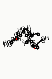 CC(NC(C)(C)C)C(=O)c1cccc(Cl)c1.CC1NCCOC1c1ccccc1.COC(=O)C(c1ccccc1)C1CCCCN1.Fc1ccc(C(OCCN2CCN(CCCc3ccccc3)CC2)c2ccc(F)cc2)cc1.NC[C@H](O)c1ccc(O)c(O)c1.O=C(O)CCCCCCNC1c2ccccc2CCc2ccccc21